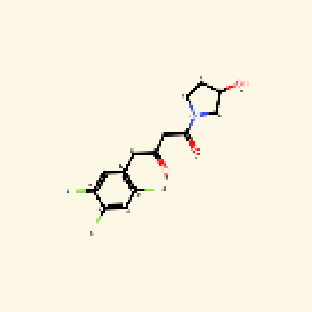 O=C(CC(=O)N1CCC(O)C1)Cc1cc(F)c(F)cc1F